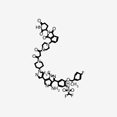 C[C@H](Oc1cc(-c2nn(C)c3c(-c4cnn(C5CCN(C(=O)CC(=O)N6CCN(c7cccc8c7C(=O)N(C7CCC(=O)NC7=O)C8=O)CC6)CC5)c4)cnc(N)c23)ccc1NS(=O)(=O)C(F)F)c1ccc(F)cc1